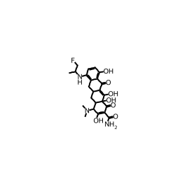 CC(CF)Nc1ccc(O)c2c1CC1CC3C(N(C)C)C(O)=C(C(N)=O)C(=O)C3(O)C(O)=C1C2=O